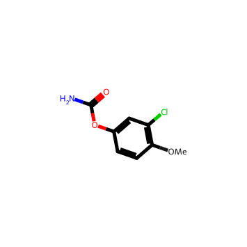 COc1ccc(OC(N)=O)cc1Cl